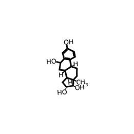 C[C@]12CC[C@@H]3c4ccc(O)cc4C(O)C[C@H]3[C@@H]1C[C@@H](O)[C@@H]2O